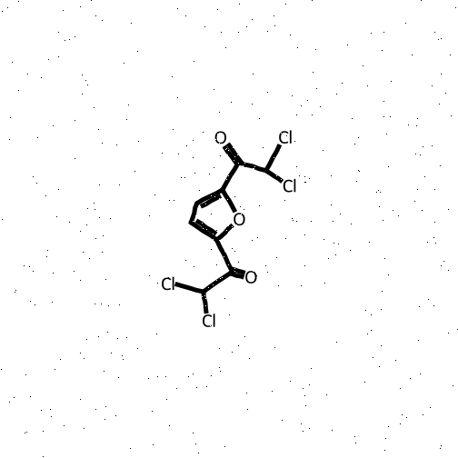 O=C(c1ccc(C(=O)C(Cl)Cl)o1)C(Cl)Cl